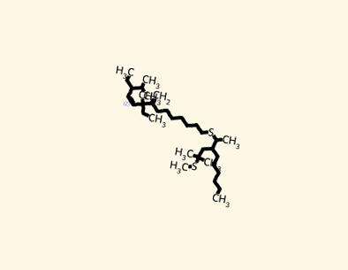 C=C(CCCCCCCSC(C)C(CCCCCC)CC(C)(C)SC)C(C)(/C=C\C(CC)C(C)C)CC